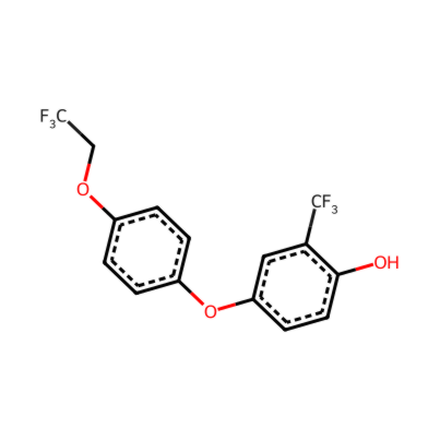 Oc1ccc(Oc2ccc(OCC(F)(F)F)cc2)cc1C(F)(F)F